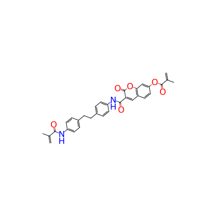 C=C(C)C(=O)Nc1ccc(CCc2ccc(NC(=O)c3cc4ccc(OC(=O)C(=C)C)cc4oc3=O)cc2)cc1